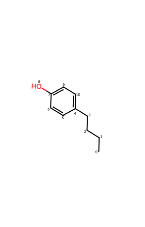 CCCCc1[c]cc(O)cc1